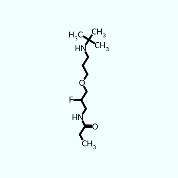 CCC(=O)NCC(F)COCCCNC(C)(C)C